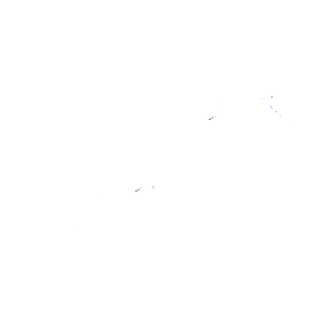 COc1ccc(SC[C@@H]2CCc3cc([C@H]4CC[C@](N)(CO)C4)ccc3C2)cc1